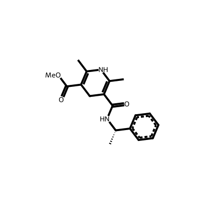 COC(=O)C1=C(C)NC(C)=C(C(=O)N[C@@H](C)c2ccccc2)C1